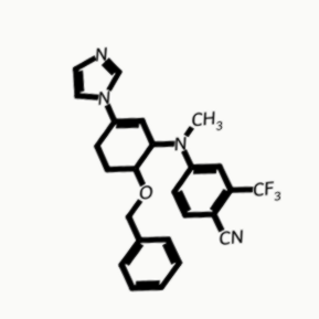 CN(c1ccc(C#N)c(C(F)(F)F)c1)C1C=C(n2ccnc2)CCC1OCc1ccccc1